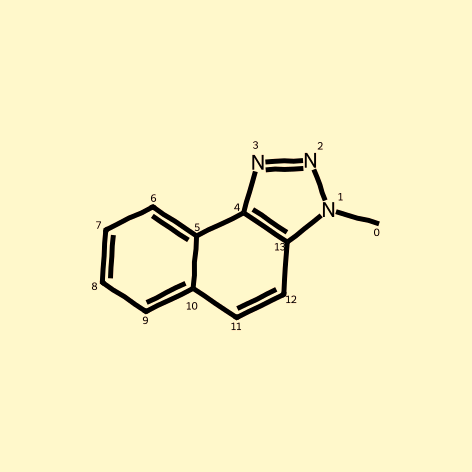 Cn1nnc2c3ccccc3ccc21